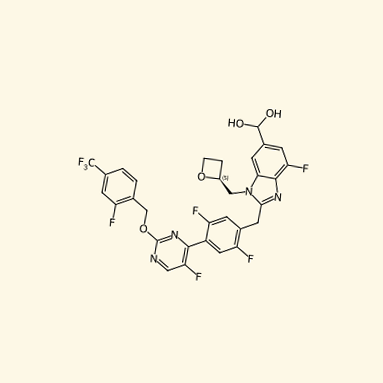 OC(O)c1cc(F)c2nc(Cc3cc(F)c(-c4nc(OCc5ccc(C(F)(F)F)cc5F)ncc4F)cc3F)n(C[C@@H]3CCO3)c2c1